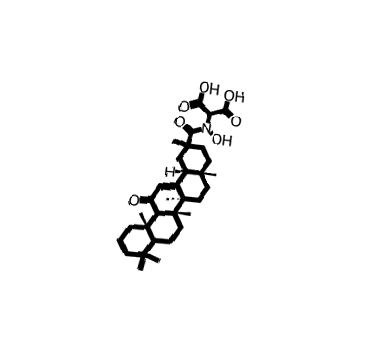 CC1(C(=O)N(O)C(C(=O)O)C(=O)O)CC[C@]2(C)CC[C@]3(C)C(=CC(=O)C4[C@@]5(C)CCCC(C)(C)C5CC[C@]43C)[C@@H]2C1